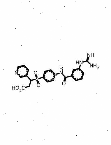 N=C(N)Nc1cccc(C(=O)Nc2ccc(S(=O)(=O)C(CC(=O)O)c3cccnc3)cc2)c1